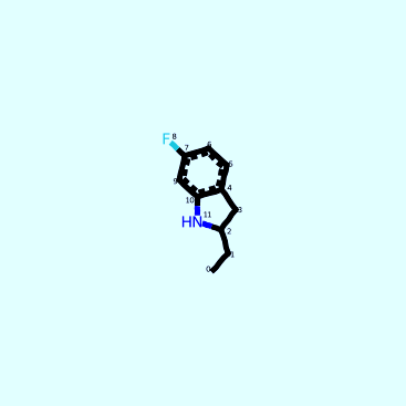 CCC1Cc2ccc(F)cc2N1